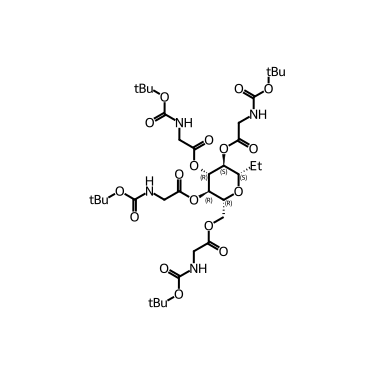 CC[C@@H]1O[C@H](COC(=O)CNC(=O)OC(C)(C)C)[C@@H](OC(=O)CNC(=O)OC(C)(C)C)[C@H](OC(=O)CNC(=O)OC(C)(C)C)[C@H]1OC(=O)CNC(=O)OC(C)(C)C